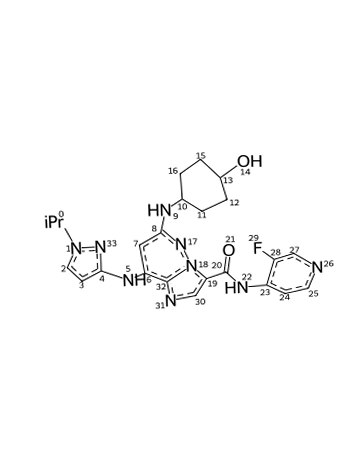 CC(C)n1ccc(Nc2cc(NC3CCC(O)CC3)nn3c(C(=O)Nc4ccncc4F)cnc23)n1